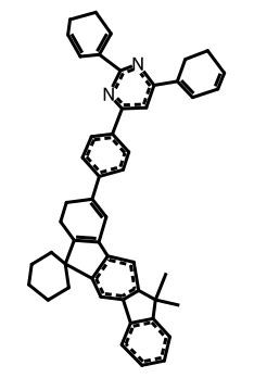 CC1(C)c2ccccc2-c2cc3c(cc21)C1=C(CCC(c2ccc(-c4cc(C5=CC=CCC5)nc(C5=CCCC=C5)n4)cc2)=C1)C31CCCCC1